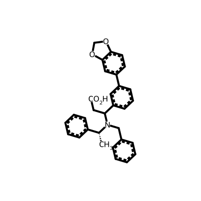 C[C@H](c1ccccc1)N(Cc1ccccc1)C(CC(=O)O)c1cccc(-c2ccc3c(c2)OCO3)c1